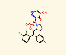 CS(=O)(=O)O[C@H]([C@H](c1ccc(F)cc1)c1cccc(F)c1F)[C@H]1CCCN1C(=O)c1n[nH]cc(O)c1=O